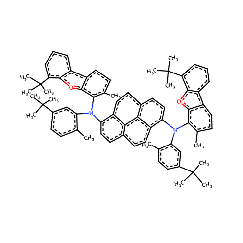 Cc1ccc(C(C)(C)C)cc1N(c1ccc2ccc3c(N(c4cc(C(C)(C)C)ccc4C)c4c(C)ccc5c4oc4c(C(C)(C)C)cccc45)ccc4ccc1c2c43)c1c(C)ccc2c1oc1c(C(C)(C)C)cccc12